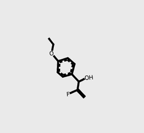 C=C(F)C(O)c1ccc(OCC)cc1